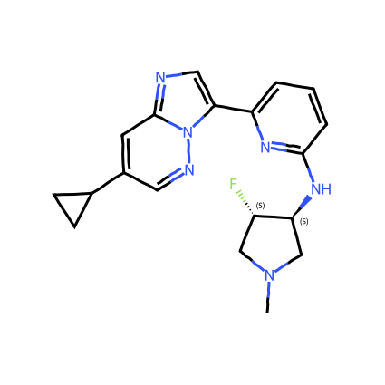 CN1C[C@H](Nc2cccc(-c3cnc4cc(C5CC5)cnn34)n2)[C@@H](F)C1